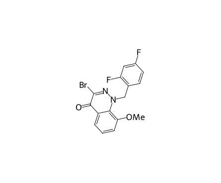 COc1cccc2c(=O)c(Br)nn(Cc3ccc(F)cc3F)c12